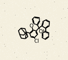 OC1(c2ccccc2-c2ccccc2)c2ccccc2Oc2c(C34CC5CC(CC(C5)C3)C4)cc(Cl)cc21